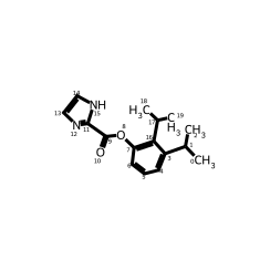 CC(C)c1cccc(OC(=O)c2ncc[nH]2)c1C(C)C